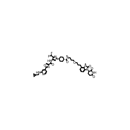 CN(CCCOCCCc1cccc2c1n(C)c(=O)n2C1CCC(=O)NC1=O)C(=O)[C@H]1CC[C@H](n2cc(NC(=O)c3coc(-c4ccnc(NCC5CC5)c4)n3)c(C(F)F)n2)CC1